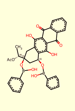 CC(=O)O[C@H](C)[C@]1(OB(O)c2ccccc2)Cc2c(O)c3c(c(O)c2[C@@H](OB(O)c2ccccc2)C1)C(=O)c1ccccc1C3=O